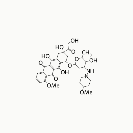 COc1cccc2c1C(=O)c1c(O)c3c(c(O)c1C2=O)C[C@@](O)(C(=O)CO)C[C@@H]3OC1CC(NN2CCC(OC)CC2)C(O)C(C)O1